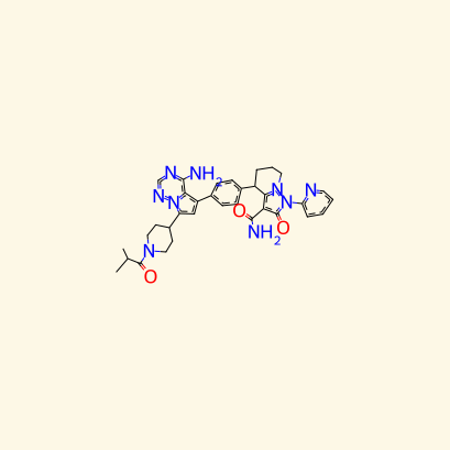 CC(C)C(=O)N1CCC(c2cc(-c3ccc(C4CCCn5c4c(C(N)=O)c(=O)n5-c4ccccn4)cc3)c3c(N)ncnn23)CC1